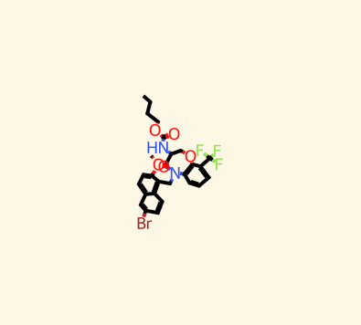 CCCCOC(=O)NC1COc2c(cccc2C(F)(F)F)N(Cc2c(OC)ccc3cc(Br)ccc23)C1=O